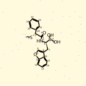 CS[C@@H](C(=O)N[C@H](Cc1coc2ccccc12)B(O)O)c1ccccc1